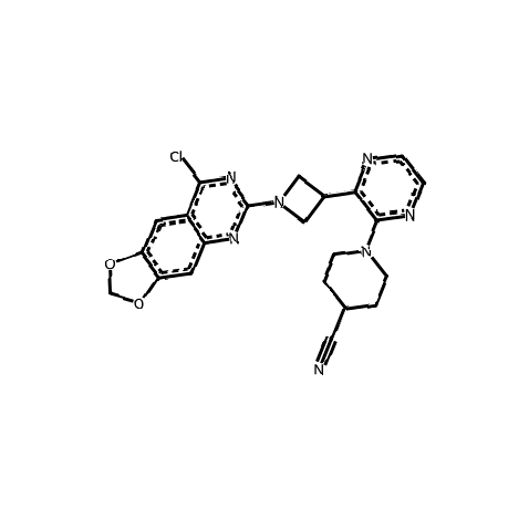 N#CC1CCN(c2nccnc2C2CN(c3nc(Cl)c4cc5c(cc4n3)OCO5)C2)CC1